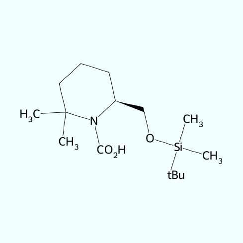 CC1(C)CCC[C@@H](CO[Si](C)(C)C(C)(C)C)N1C(=O)O